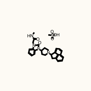 CNC(=O)Cn1c(=O)n(C2CCN(C3Cc4cccc5cccc3c45)CC2)c2ccccc21.CS(=O)(=O)O